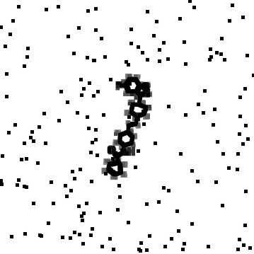 O=C(N[C@H]1CC[C@H](CCN2CCC(c3noc4ccc(F)cc34)CC2)CC1)c1ccccc1